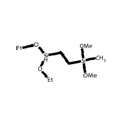 CCO[SiH](CC[Si](C)(OC)OC)OCC